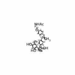 CC(=O)NCCOc1ccc(CN(C)Cc2ccc(-n3c(O)nnc3-c3cc(C(C)C)c(O)cc3O)cc2)cc1